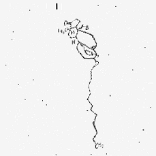 CCCCCCCCCCCCO[C@H]1CC[C@@]2(C)C(=CC[C@@H]3[C@@H]2CC[C@]2(C)C(=O)CC[C@@H]32)C1